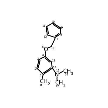 [CH2]c1ccc(OCc2ccccc2)cc1N(C)C